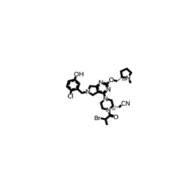 CC(Br)C(=O)N1CCN(c2nc(OC[C@@H]3CCCN3C)nc3c2CN(Cc2cc(O)ccc2Cl)C3)C[C@@H]1CC#N